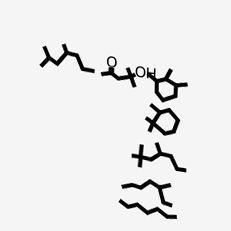 CC(=O)CC(C)(C)O.CC1CCCC(C)C1C.CC1CCCCC1(C)C.CCCC(C)CC(C)(C)C.CCCC(C)CC(C)C.CCCCC(C)CC.CCCCCCC